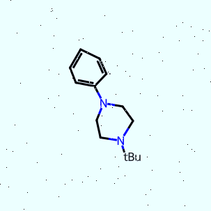 CC(C)(C)N1CCN(c2[c]cccc2)CC1